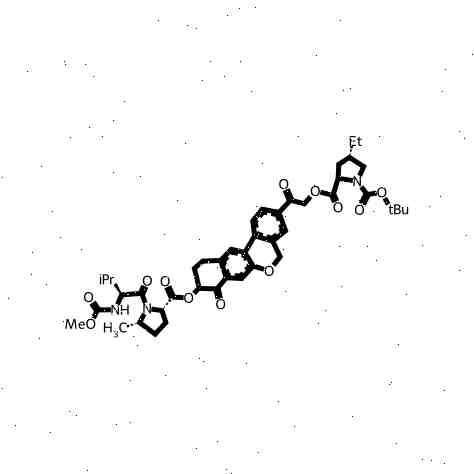 CC[C@H]1CC(C(=O)OCC(=O)c2ccc3c(c2)COc2cc4c(cc2-3)CCC(OC(=O)[C@@H]2CC[C@H](C)N2C(=O)[C@@H](NC(=O)OC)C(C)C)C4=O)N(C(=O)OC(C)(C)C)C1